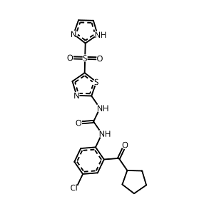 O=C(Nc1ncc(S(=O)(=O)c2ncc[nH]2)s1)Nc1ccc(Cl)cc1C(=O)C1CCCC1